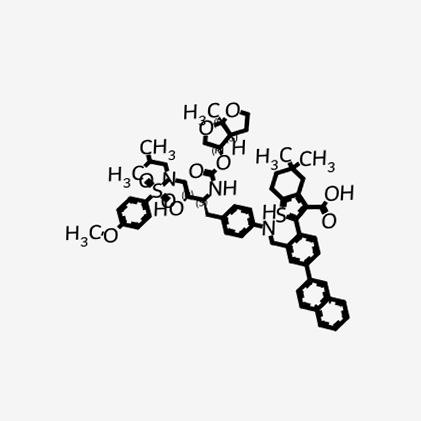 COc1ccc(S(=O)(=O)N(CC(C)C)C[C@@H](O)[C@H](Cc2ccc(NCc3cc(-c4ccc5ccccc5c4)ccc3-c3sc4c(c3C(=O)O)CC(C)(C)CC4)cc2)NC(=O)O[C@H]2CO[C@@]3(C)OCC[C@@H]23)cc1